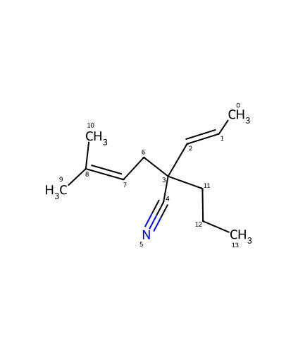 CC=CC(C#N)(CC=C(C)C)CCC